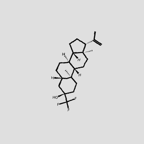 C=C(C)[C@H]1CC[C@H]2[C@@H]3CC[C@H]4C[C@@](O)(C(F)(F)F)CC[C@]4(C)[C@H]3CC[C@]12C